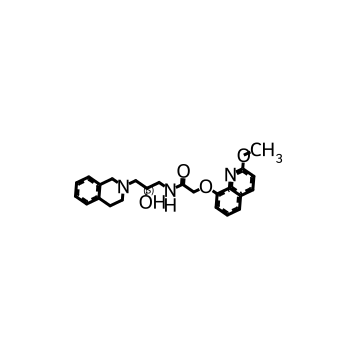 COc1ccc2cccc(OCC(=O)NC[C@H](O)CN3CCc4ccccc4C3)c2n1